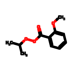 COc1ccccc1C(=O)OO[C](C)C